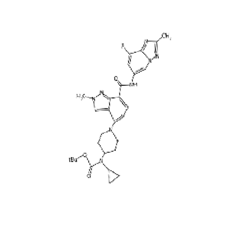 Cc1nc2c(F)cc(NC(=O)c3ccc(N4CCC(N(C(=O)OC(C)(C)C)C5CC5)CC4)c4cn(C)nc34)cn2n1